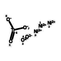 [Ni+2].[Ni+2].[Ni+2].[O-2].[O-2].[O]=[Ti]([O-])[O-]